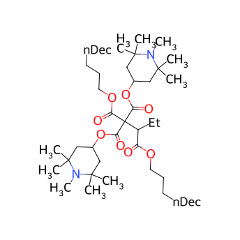 CCCCCCCCCCCCCOC(=O)C(CC)C(C(=O)OCCCCCCCCCCCCC)(C(=O)OC1CC(C)(C)N(C)C(C)(C)C1)C(=O)OC1CC(C)(C)N(C)C(C)(C)C1